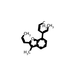 C/C=C\C(=C/C)c1cccc2c(C)c(/C=C\C)oc12